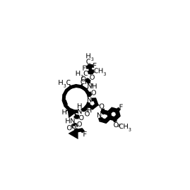 COc1cc(F)cc2c(O[C@@H]3C[C@H]4C(=O)N[C@]5(C(=O)NS(=O)(=O)C6(CF)CC6)C[C@H]5/C=C\CC[C@H](C)C[C@@H](C)[C@H](NC(=O)OC(C)(C)C(C)(F)F)C(=O)N4C3)nccc12